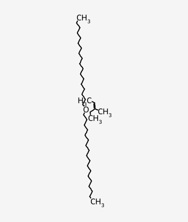 CC=C(C)CC.CCCCCCCCCCCCCCCCCCOCCCCCCCCCCCCCCCCCC